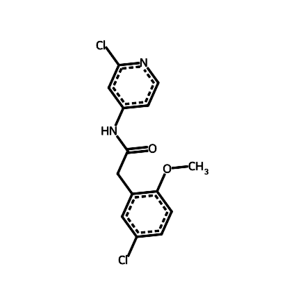 COc1ccc(Cl)cc1CC(=O)Nc1ccnc(Cl)c1